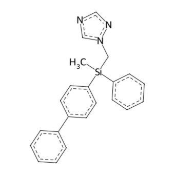 C[Si](Cn1cncn1)(c1ccccc1)c1ccc(-c2ccccc2)cc1